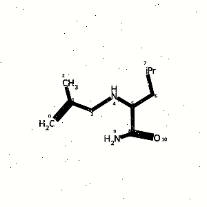 C=C(C)CNC(CC(C)C)C(N)=O